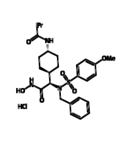 COc1ccc(S(=O)(=O)N(Cc2ccccc2)[C@@H](C(=O)NO)[C@H]2CC[C@H](NC(=O)C(C)C)CC2)cc1.Cl